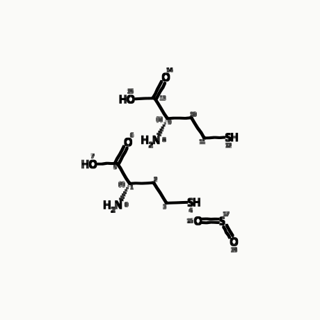 N[C@@H](CCS)C(=O)O.N[C@@H](CCS)C(=O)O.O=S=O